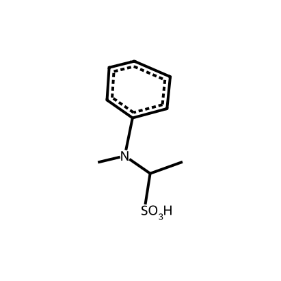 CC(N(C)c1cc[c]cc1)S(=O)(=O)O